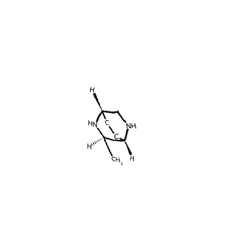 C[C@H]1N[C@H]2CC[C@@H]1NC2